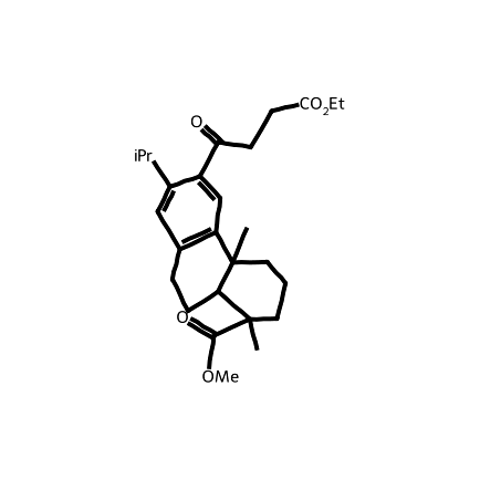 CCOC(=O)CCC(=O)c1cc2c(cc1C(C)C)CCC1C(C)(C(=O)OC)CCCC21C